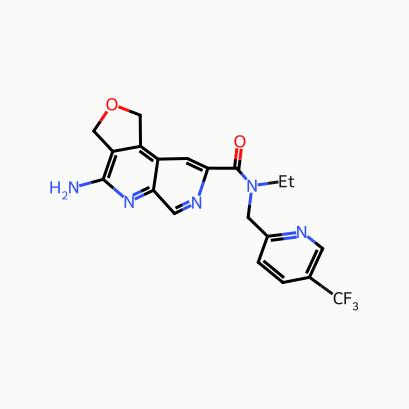 CCN(Cc1ccc(C(F)(F)F)cn1)C(=O)c1cc2c3c(c(N)nc2cn1)COC3